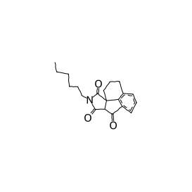 CCCCCCN1C(=O)C2C(=O)c3cccc4c3C2(CCC4)C1=O